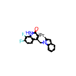 CC(C)c1cc2ccccc2n1Cc1cc(=O)[nH]c2c(F)c(F)ccc12